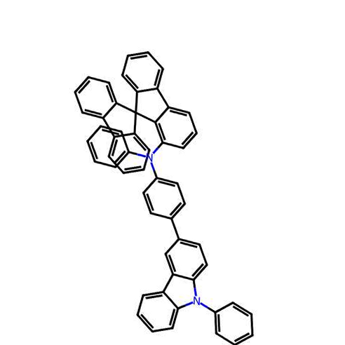 c1ccc(N(c2ccc(-c3ccc4c(c3)c3ccccc3n4-c3ccccc3)cc2)c2cccc3c2C2(c4ccccc4-c4ccccc42)c2ccccc2-3)cc1